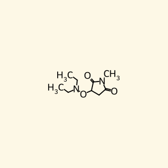 CCN(CC)OC1CC(=O)N(C)C1=O